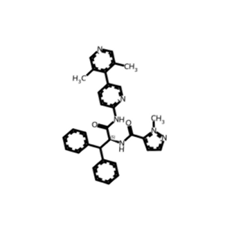 Cc1cncc(C)c1-c1ccc(NC(=O)[C@@H](NC(=O)c2ccnn2C)C(c2ccccc2)c2ccccc2)nc1